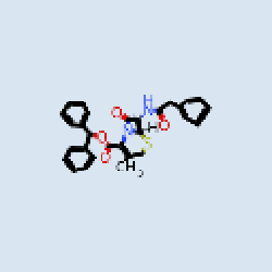 CC1=C(C(=O)OC(c2ccccc2)c2ccccc2)N2C(=O)[C@H](NC(=O)Cc3ccccc3)[C@H]2SC1